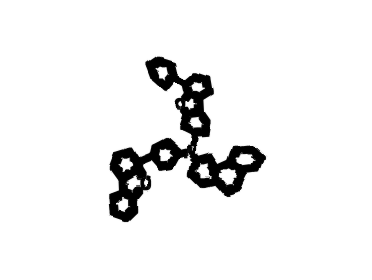 c1ccc(-c2cccc3c2oc2cc(N(c4ccc(-c5cccc6c5oc5ccccc56)cc4)c4ccc5ccc6ccccc6c5c4)ccc23)cc1